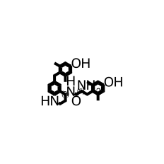 Cc1cc(O)cc(C)c1Cc1ccc2c(c1)[C@H](NC(=O)[C@@H](N)Cc1c(C)cc(O)cc1C)CCN2